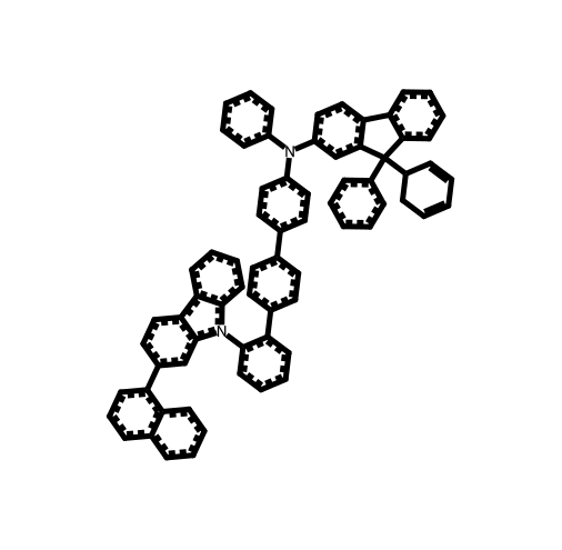 C1=CCC(C2(c3ccccc3)c3ccccc3-c3ccc(N(c4ccccc4)c4ccc(-c5ccc(-c6ccccc6-n6c7ccccc7c7ccc(-c8cccc9ccccc89)cc76)cc5)cc4)cc32)C=C1